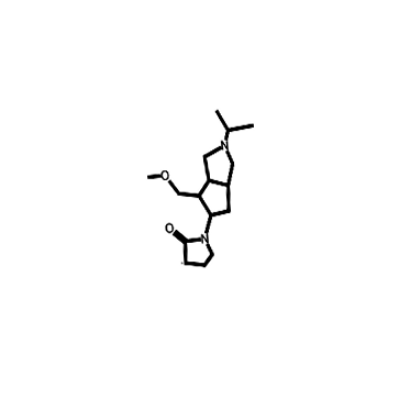 COCC1C2CN(C(C)C)CC2CC1N1CC[CH]C1=O